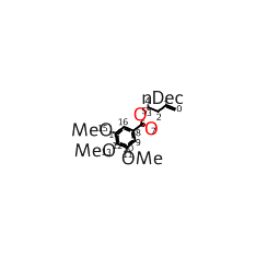 C=CCC(CCCCCCCCCC)OC(=O)c1cc(OC)c(OC)c(OC)c1